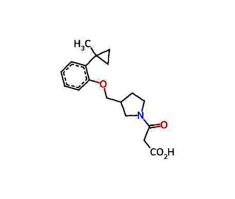 CC1(c2ccccc2OCC2CCN(C(=O)CC(=O)O)C2)CC1